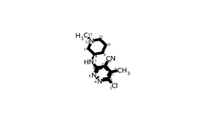 Cc1c(Cl)nnc(N[C@@H]2CCCN(C)C2)c1C#N